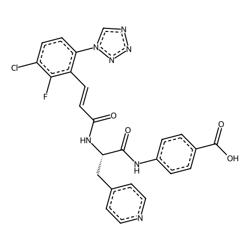 O=C(/C=C/c1c(-n2cnnn2)ccc(Cl)c1F)N[C@@H](Cc1ccncc1)C(=O)Nc1ccc(C(=O)O)cc1